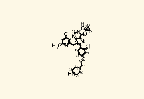 Cc1cc(Cl)cc(Cn2c(-c3ccc(OCCN4CCNCC4)cc3Cl)nc3c(OC4(C)CC4)ncnc32)n1